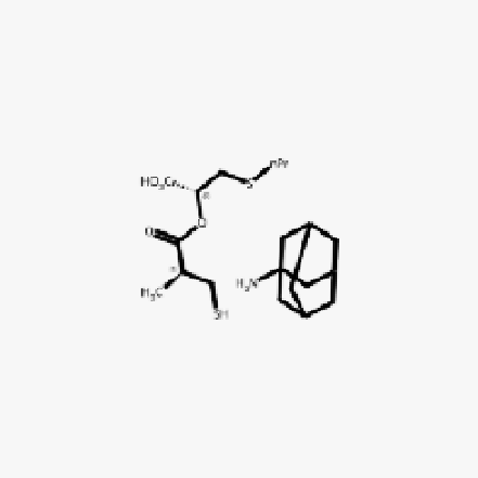 CCCSC[C@H](OC(=O)[C@H](C)CS)C(=O)O.NC12CC3CC(CC(C3)C1)C2